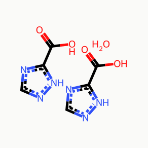 O.O=C(O)c1ncn[nH]1.O=C(O)c1ncn[nH]1